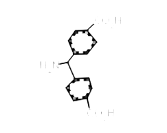 NC(c1ccc(C(=O)O)cc1)c1ccc(C(=O)O)cc1